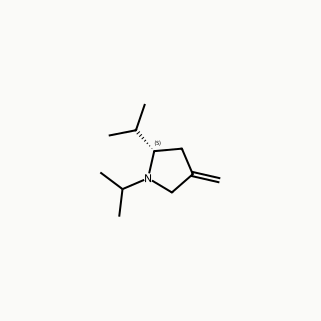 C=C1C[C@@H](C(C)C)N(C(C)C)C1